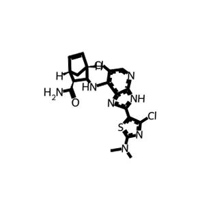 CN(C)c1nc(Cl)c(-c2nc3c(NC4[C@@H](C(N)=O)[C@@H]5C=C[C@H]4C5)c(Cl)cnc3[nH]2)s1